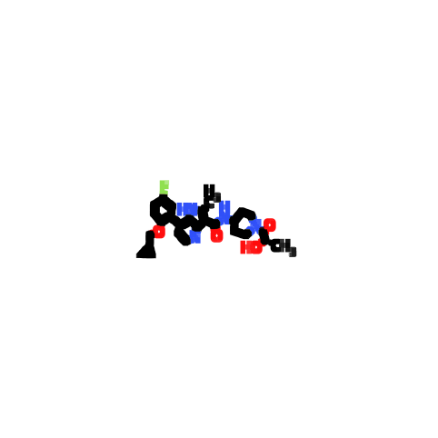 Cc1[nH]c2c(-c3cc(F)ccc3OCC3CC3)ccnc2c1C(=O)NC1CCN(C(=O)[C@H](C)O)CC1